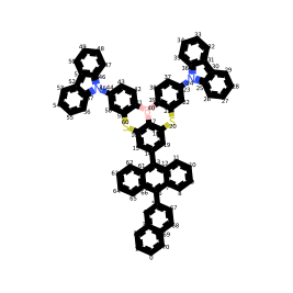 c1ccc2cc(-c3c4ccccc4c(-c4cc5c6c(c4)Sc4cc(-n7c8ccccc8c8ccccc87)ccc4B6c4ccc(-n6c7ccccc7c7ccccc76)cc4S5)c4ccccc34)ccc2c1